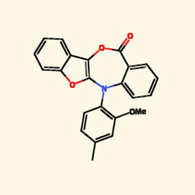 COc1cc(C)ccc1N1c2ccccc2C(=O)Oc2c1oc1ccccc21